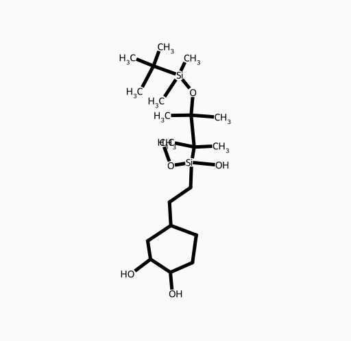 CO[Si](O)(CCC1CCC(O)C(O)C1)C(C)(C)C(C)(C)O[Si](C)(C)C(C)(C)C